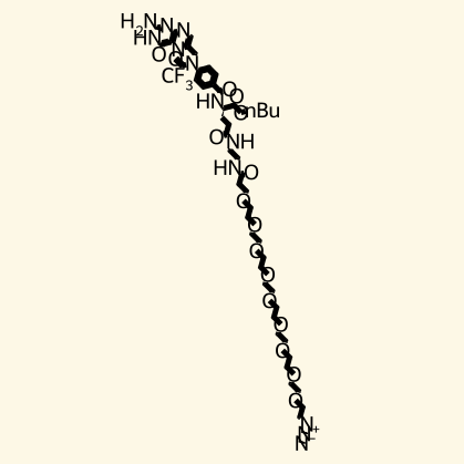 CCCCOC(=O)[C@H](CCC(=O)NCCNC(=O)CCOCCOCCOCCOCCOCCOCCOCCOCCOCCN=[N+]=[N-])NC(=O)c1ccc(N(Cc2cnc3nc(N)[nH]c(=O)c3n2)C(=O)C(F)(F)F)cc1